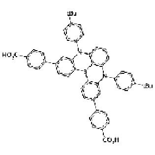 CC(C)(C)c1ccc(N2c3cc(-c4ccc(C(=O)O)cc4)ccc3B3c4ccc(-c5ccc(C(=O)O)cc5)cc4N(c4ccc(C(C)(C)C)cc4)c4cccc2c43)cc1